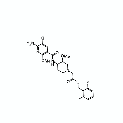 COc1nc(N)c(Cl)cc1C(=O)N[C@@H]1CCN(CC(=O)OCc2c(C)cccc2F)C[C@@H]1OC